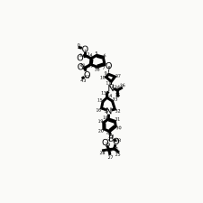 COC(=O)c1ccc(O[C@H]2C[C@H](N(CC3CCN(c4ccc(B5OC(C)C(C)(C)O5)cc4)CC3)C(C)C)C2)cc1C(=O)OC